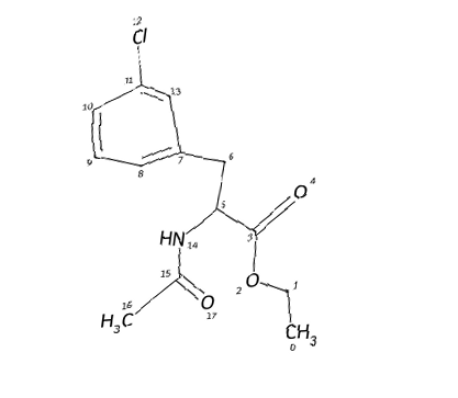 CCOC(=O)C(Cc1cccc(Cl)c1)NC(C)=O